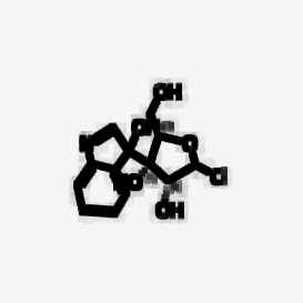 OC[C@H]1OC(Cl)[C@H](O)[C@@]1(O)C1(O)C=Nc2ccccc21